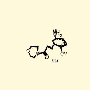 Cl.Nc1ccc(O)c(C=CC(=O)N2CCOCC2)c1